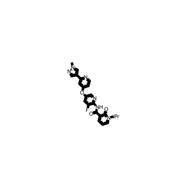 CC(C)n1cccc(C(=O)Nc2ncc(Oc3ccnc(-c4cnn(C)c4)c3)cc2F)c1=O